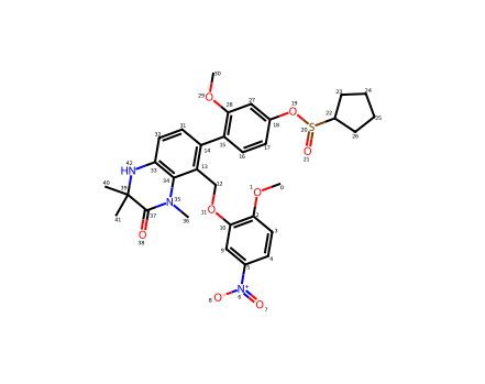 COc1ccc([N+](=O)[O-])cc1OCc1c(-c2ccc(OS(=O)C3CCCC3)cc2OC)ccc2c1N(C)C(=O)C(C)(C)N2